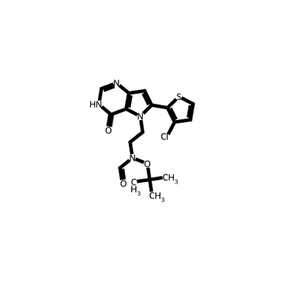 CC(C)(C)ON(C=O)CCn1c(-c2sccc2Cl)cc2nc[nH]c(=O)c21